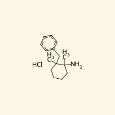 CC1(N)CCCCC1(C)Cc1ccccc1.Cl